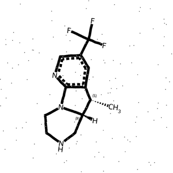 C[C@H]1c2cc(C(F)(F)F)cnc2N2CCNC[C@@H]12